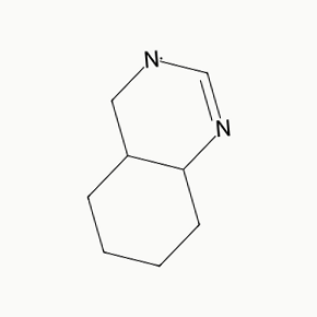 C1=NC2CCCCC2C[N]1